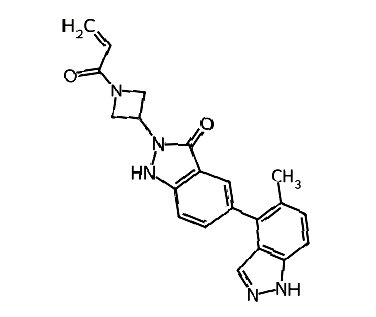 C=CC(=O)N1CC(n2[nH]c3ccc(-c4c(C)ccc5[nH]ncc45)cc3c2=O)C1